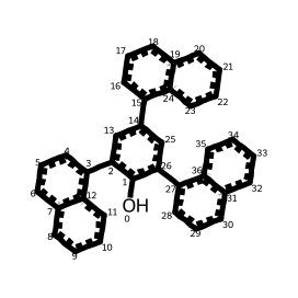 Oc1c(-c2cccc3ccccc23)cc(-c2cccc3ccccc23)cc1-c1cccc2ccccc12